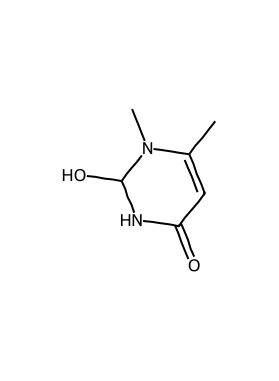 CC1=CC(=O)NC(O)N1C